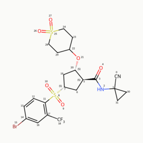 N#CC1(NC(=O)[C@H]2C[C@H](S(=O)(=O)c3ccc(Br)cc3C(F)(F)F)C[C@@H]2OC2CCS(=O)(=O)CC2)CC1